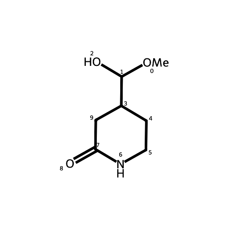 COC(O)C1CCNC(=O)C1